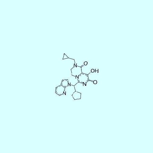 O=C1c2c(O)c(=O)nc(C(C3CCCC3)n3ccc4cccnc43)n2CCN1CC1CC1